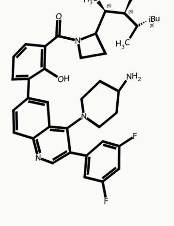 CC[C@@H](C)C(C)[C@H](C)[C@H](C)C1CCN1C(=O)c1cccc(-c2ccc3ncc(-c4cc(F)cc(F)c4)c(N4CCC(N)CC4)c3c2)c1O